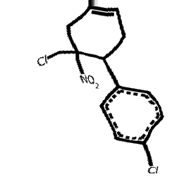 O=[N+]([O-])C1(Cl)CC=CCC1c1ccc(Cl)cc1